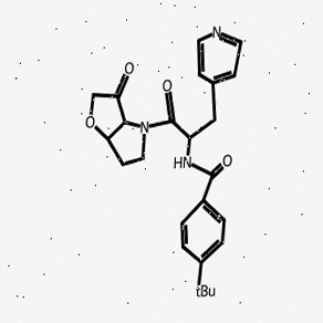 CC(C)(C)c1ccc(C(=O)NC(Cc2ccncc2)C(=O)N2CCC3OCC(=O)C32)cc1